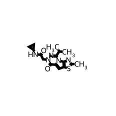 Cc1nc2c(cc3c(=O)n(CC(=O)NC4CC4)nc(C(C)C)n32)s1